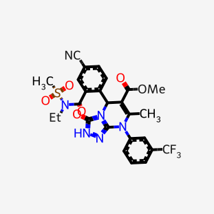 CCN(C(=O)c1cc(C#N)ccc1C1C(C(=O)OC)=C(C)N(c2cccc(C(F)(F)F)c2)c2n[nH]c(=O)n21)S(C)(=O)=O